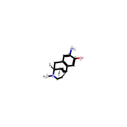 CN1CC[C@]23CCCC[C@@H]2[C@H]1Cc1cc(N)c(O)cc13